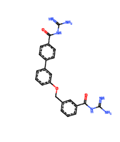 N=C(N)NC(=O)c1ccc(-c2cccc(OCc3cccc(C(=O)NC(=N)N)c3)c2)cc1